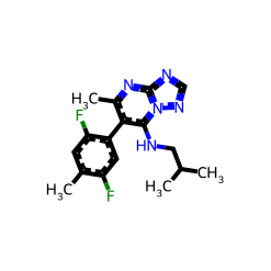 Cc1cc(F)c(-c2c(C)nc3ncnn3c2NCC(C)C)cc1F